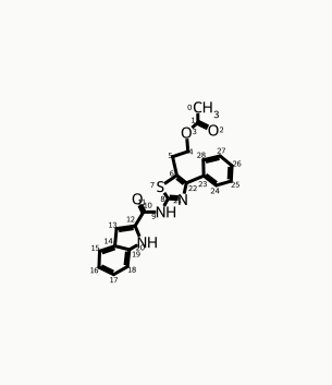 CC(=O)OCCc1sc(NC(=O)c2cc3ccccc3[nH]2)nc1-c1ccccc1